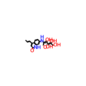 CC=Cc1cc(=O)[nH]c2cc(N[C@@H](C=O)[C@@H](O)[C@H](O)[C@H](O)CO)ccc12